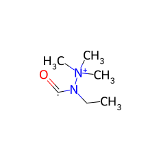 CCN([C]=O)[N+](C)(C)C